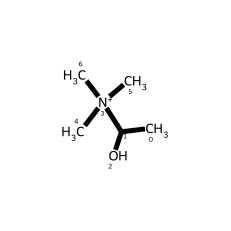 C[C](O)[N+](C)(C)C